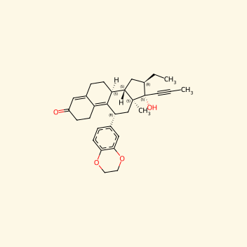 CC#C[C@]1(O)[C@H](CC)C[C@H]2[C@@H]3CCC4=CC(=O)CCC4=C3[C@@H](c3ccc4c(c3)OCCO4)C[C@@]21C